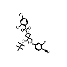 CC(C)(C)[Si](C)(C)OCC1(CNc2ccc(C#N)c(F)c2)CN(S(=O)(=O)c2ccc(Cl)cc2Cl)C1